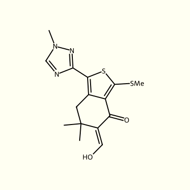 CSc1sc(-c2ncn(C)n2)c2c1C(=O)C(=CO)C(C)(C)C2